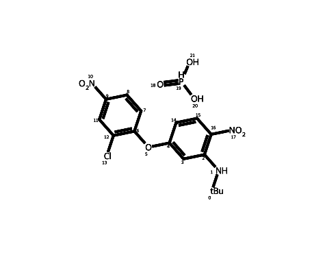 CC(C)(C)Nc1cc(Oc2ccc([N+](=O)[O-])cc2Cl)ccc1[N+](=O)[O-].O=[PH](O)O